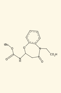 CC(C)(C)OC(=O)NC1CC(=O)N(CC(=O)O)c2ccccc2O1